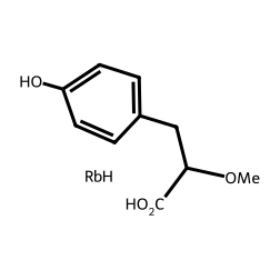 COC(Cc1ccc(O)cc1)C(=O)O.[RbH]